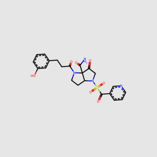 NC(=O)C12C(=O)CN(S(=O)(=O)C(=O)c3cccnc3)C1CCN2C(=O)[CH]Cc1cccc(O)c1